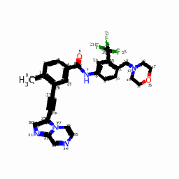 Cc1ccc(C(=O)Nc2ccc(CN3CCOCC3)c(C(F)(F)F)c2)cc1C#Cc1cnc2cnccn12